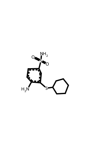 Nc1ccc(S(N)(=O)=O)cc1SC1CCCCC1